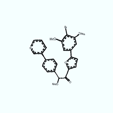 COc1cc(-c2ccc(C(=O)C(OC)c3ccc(-c4cccnc4)cc3)o2)cc(OC)c1Br